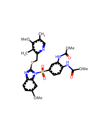 COC(=O)Nc1ccc(S(=O)(=O)n2c(SCc3ncc(C)c(OC)c3C)nc3ccc(OC)cc32)cc1NC(=O)OC